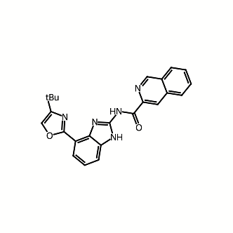 CC(C)(C)c1coc(-c2cccc3[nH]c(NC(=O)c4cc5ccccc5cn4)nc23)n1